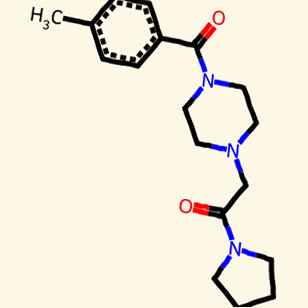 Cc1ccc(C(=O)N2CCN(CC(=O)N3CCCC3)CC2)cc1